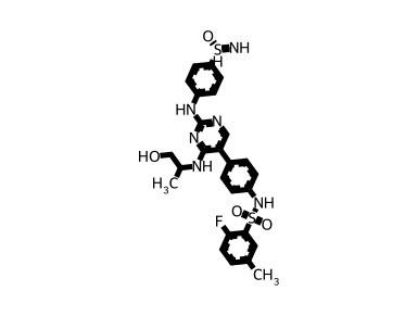 Cc1ccc(F)c(S(=O)(=O)Nc2ccc(-c3cnc(Nc4ccc([SH](=N)=O)cc4)nc3NC(C)CO)cc2)c1